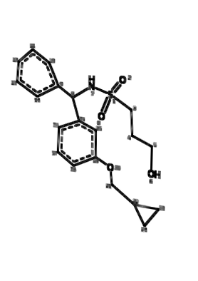 O=S(=O)(CCCO)NC(c1ccccc1)c1cccc(OCC2CC2)c1